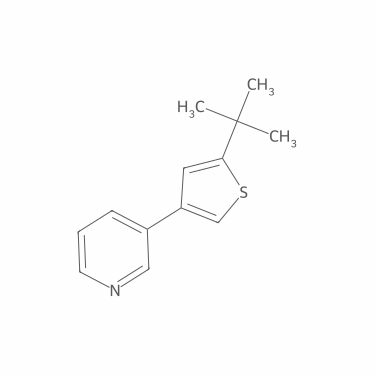 CC(C)(C)c1cc(-c2cccnc2)cs1